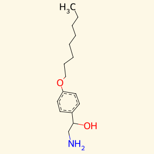 CCCCCCCCOc1ccc(C(O)CN)cc1